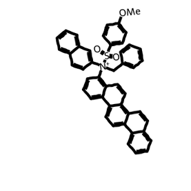 COc1ccc(S(=O)(=O)[N+](Cc2ccccc2)(c2ccc3ccccc3c2)c2cccc3c2ccc2c3ccc3c4ccccc4ccc32)cc1